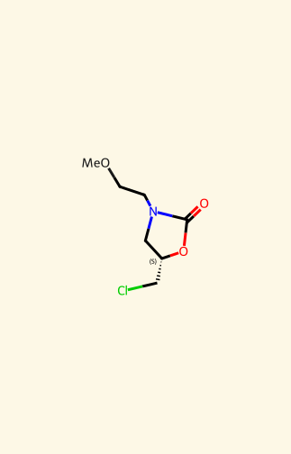 COCCN1C[C@@H](CCl)OC1=O